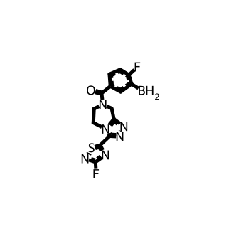 Bc1cc(C(=O)N2CCn3c(nnc3-c3nc(F)ns3)C2)ccc1F